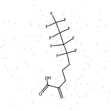 C=C(CCCC(F)(F)C(F)(F)C(F)(F)C(F)(F)F)C(=O)O